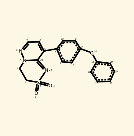 O=S1(=O)CCN2N=CC=C(c3ccc(Oc4ccccc4)cc3)C2=N1